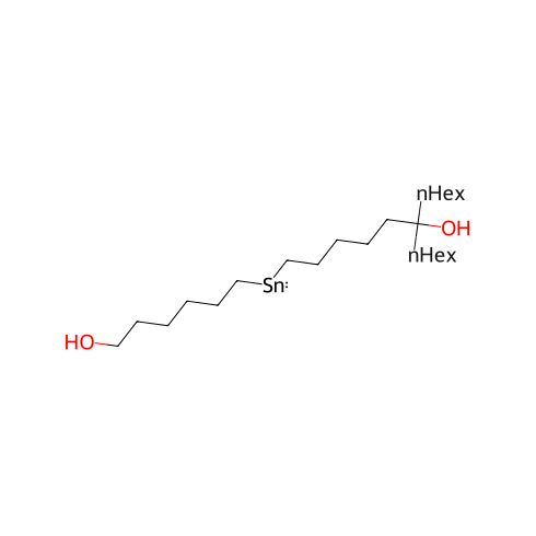 CCCCCCC(O)(CCCCCC)CCCC[CH2][Sn][CH2]CCCCCO